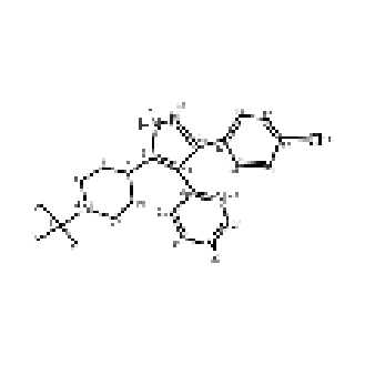 CC(C)(C)N1CCC(c2[nH]nc(-c3ccc(Cl)cc3)c2-c2ccncn2)CC1